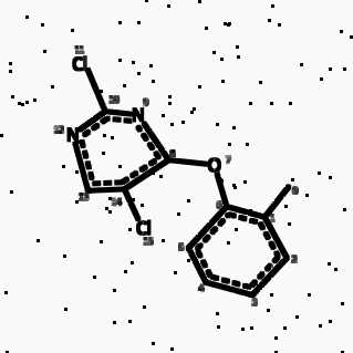 Cc1ccccc1Oc1nc(Cl)ncc1Cl